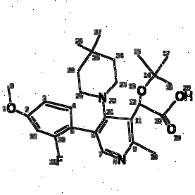 COc1ccc(-c2cnc(C)c(C(OC(C)(C)C)C(=O)O)c2N2CCC(C)(C)CC2)c(F)c1